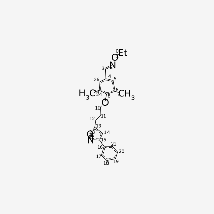 CCON=Cc1cc(C)c(OCCCc2cc(-c3ccccc3)no2)c(C)c1